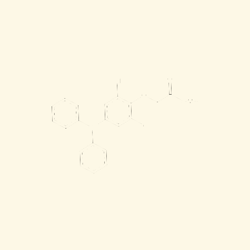 COC(=O)COc1c(C)cc([S+](c2ccccc2)c2ccccc2)cc1C